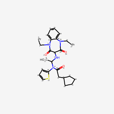 CC(C)CN1C(=O)C(NC(C(=O)O)N(C(=O)CC2CCCC2)c2cccs2)C(=O)N(CC(C)C)c2ccccc21